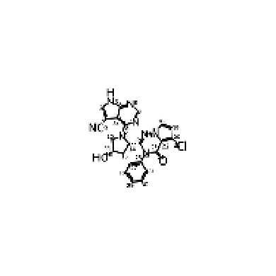 N#Cc1c[nH]c2ncnc(N3C[C@H](O)C[C@H]3c3nn4ccc(Cl)c4c(=O)n3-c3ccccc3)c12